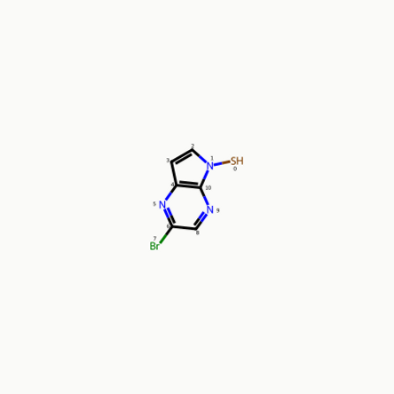 Sn1ccc2nc(Br)cnc21